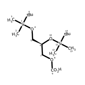 CC(C)(C)[Si](C)(C)OC[C@H](COC(=O)O)O[Si](C)(C)C(C)(C)C